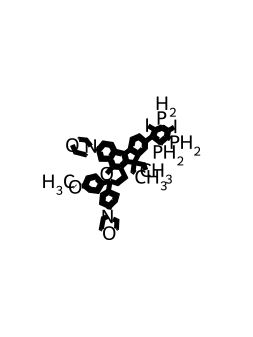 CCC1(CC)c2cc(-c3c(P)c(P)c(I)c(P)c3I)ccc2-c2c1c1c(c3cc(N4CCOCC4)ccc23)OC(c2ccc(OC)cc2)(c2ccc(N3CCOCC3)cc2)C=C1